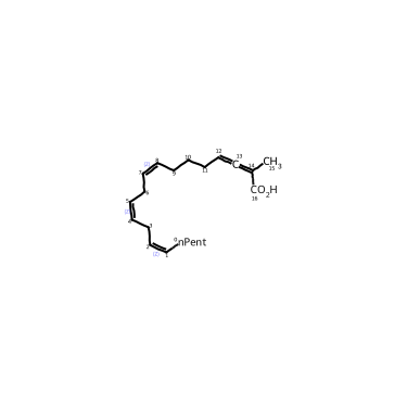 CCCCC/C=C\C/C=C\C/C=C\CCCC=C=C(C)C(=O)O